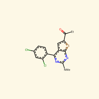 CCC(=O)c1cc2c(-c3ccc(Cl)cc3Cl)nc(NC)nc2s1